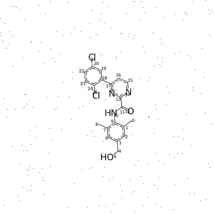 Cc1cc(CO)cc(C)c1NC(=O)c1nccc(-c2cc(Cl)ccc2Cl)n1